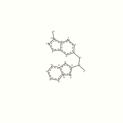 CC(Cc1cnc2c(cnn2C)c1)c1cc2ccccn2n1